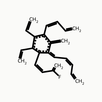 C=C/C=C\C=c1\c(/C=C\C(=C)F)c(C=C)c(C=C)c(/C=C\C=C)c1=C